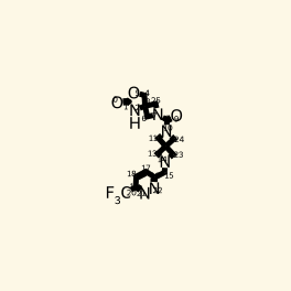 O=C1NC2(CO1)CN(C(=O)N1CC3(CN(Cc4ccc(C(F)(F)F)nn4)C3)C1)C2